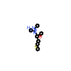 N/C(=N\C(=N/Cc1ccc(-c2ccc3cc4c(cc3c2)sc2ccccc24)c2oc3ccccc3c12)c1ccccc1)c1ccccc1